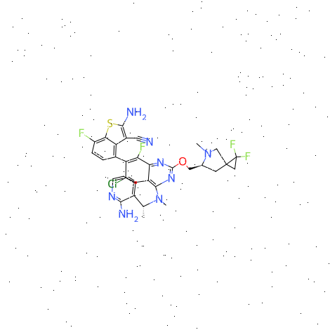 C[C@H](c1cccnc1N)N(C)c1nc(OC[C@@H]2CC3(CN2C)CC3(F)F)nc2c(F)c(-c3ccc(F)c4sc(N)c(C#N)c34)c(Cl)cc12